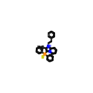 Cc1c(P(=S)(c2ccccc2)c2ccccc2)n2ccccc2[n+]1CCc1ccccc1